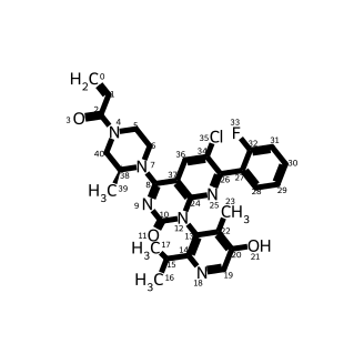 C=CC(=O)N1CCN(c2nc(=O)n(-c3c(C(C)C)ncc(O)c3C)c3nc(-c4ccccc4F)c(Cl)cc23)[C@@H](C)C1